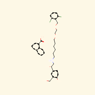 O=C(O)c1cccc2ccccc12.OCc1cc([C@@H](O)CNCCCCCCOCCOCc2c(Cl)cccc2Cl)ccc1O